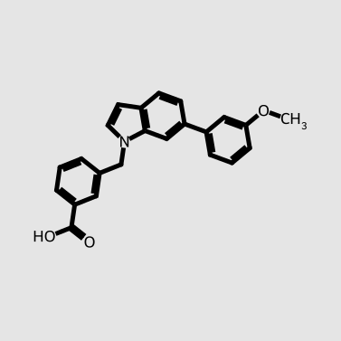 COc1cccc(-c2ccc3ccn(Cc4cccc(C(=O)O)c4)c3c2)c1